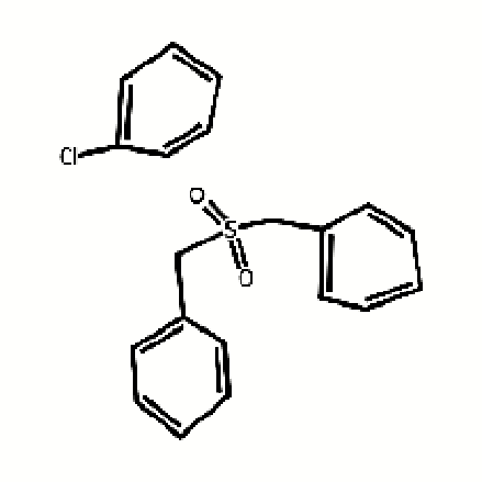 Clc1ccccc1.O=S(=O)(Cc1ccccc1)Cc1ccccc1